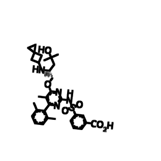 Cc1cccc(C)c1-c1nc(NS(=O)(=O)c2cccc(C(=O)O)c2)nc(OC[C@@H](CC(C)(C)O)NC2CC3(CC3)C2)c1C